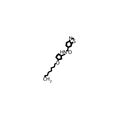 C=CCCCCCCOc1cccc(CNC(=O)c2ccc3ncsc3c2)c1